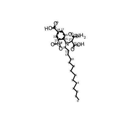 CCCCCCCCCCCCCCN(c1ccc(C(=O)O)cc1[N+](=O)[O-])C(C(N)=O)C(=O)O